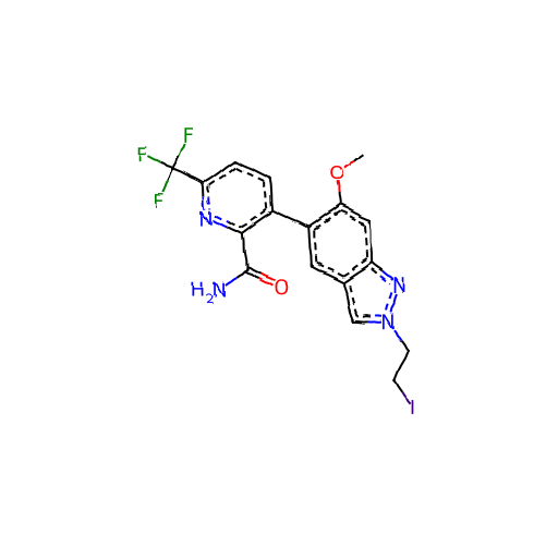 COc1cc2nn(CCI)cc2cc1-c1ccc(C(F)(F)F)nc1C(N)=O